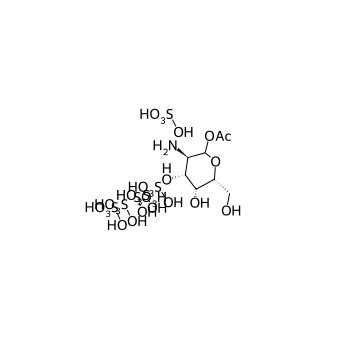 CC(=O)OC1O[C@H](CO)[C@H](O)[C@H](O)[C@H]1N.O=S(=O)(O)O.O=S(=O)(O)O.O=S(=O)(O)O.O=S(=O)(O)O.O=S(=O)(O)O.O=S(=O)(O)O